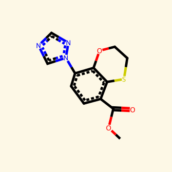 COC(=O)c1ccc(-n2cncn2)c2c1SCCO2